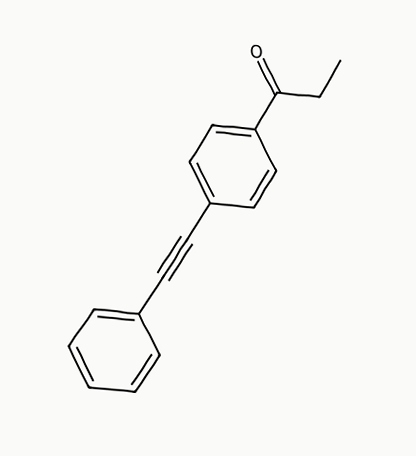 CCC(=O)c1ccc(C#Cc2ccccc2)cc1